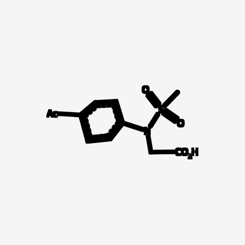 CC(=O)c1ccc(N(CC(=O)O)S(C)(=O)=O)cc1